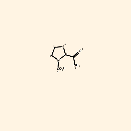 NC(=O)C1SCCN1C(=O)O